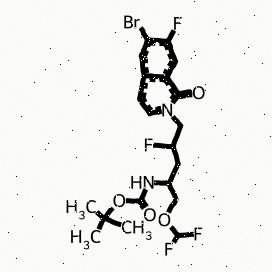 CC(C)(C)OC(=O)NC(COC(F)F)CC(F)Cn1ccc2cc(Br)c(F)cc2c1=O